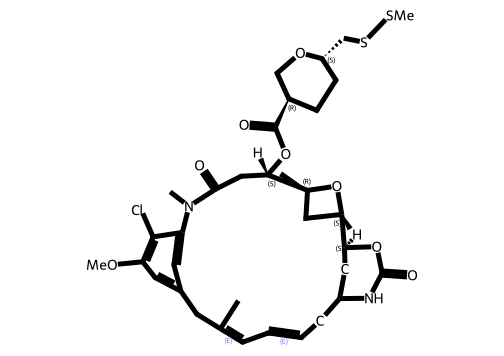 COc1cc2cc(c1Cl)N(C)C(=O)C[C@H](OC(=O)[C@@H]1CC[C@@H](CSSC)OC1)[C@@]1(C)C[C@](C)(O1)[C@@H]1CC(C/C=C/C=C(\C)C2)NC(=O)O1